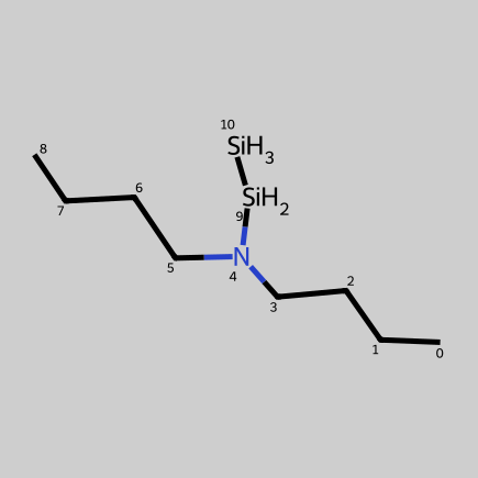 CCCCN(CCCC)[SiH2][SiH3]